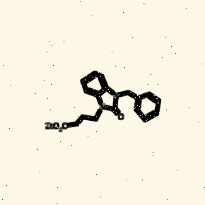 CCOC(=O)CCCn1c(=O)n(Cc2ccccc2)c2ccccc21